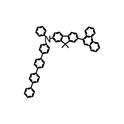 CC1(C)c2cc(-c3cc4ccccc4c4ccccc34)ccc2-c2ccc(N(c3ccccc3)c3ccc(-c4ccc(-c5ccc(-c6ccccc6)cc5)cc4)cc3)cc21